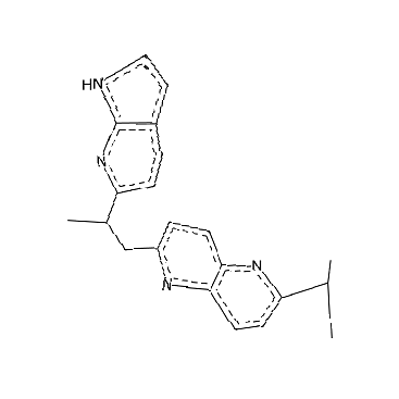 CC(C)c1ccc2nc(CC(C)c3ccc4cc[nH]c4n3)ccc2n1